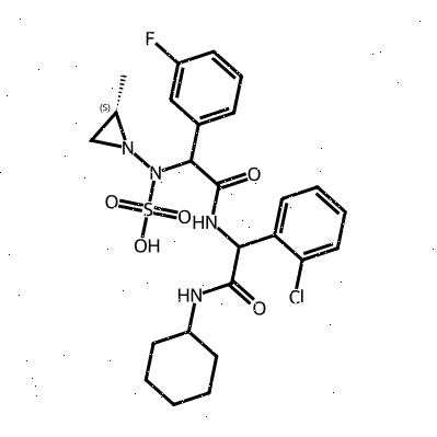 C[C@H]1CN1N(C(C(=O)NC(C(=O)NC1CCCCC1)c1ccccc1Cl)c1cccc(F)c1)S(=O)(=O)O